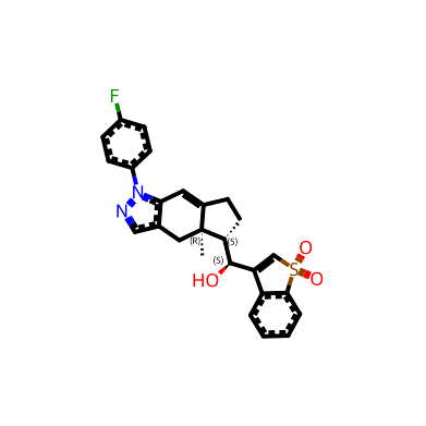 C[C@]12Cc3cnn(-c4ccc(F)cc4)c3C=C1CC[C@@H]2[C@H](O)C1=CS(=O)(=O)c2ccccc21